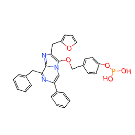 OP(O)Oc1ccc(COc2c(Cc3ccco3)nc3c(Cc4ccccc4)nc(-c4ccccc4)cn23)cc1